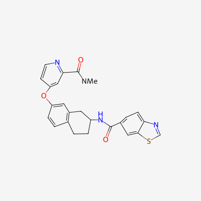 CNC(=O)c1cc(Oc2ccc3c(c2)CC(NC(=O)c2ccc4ncsc4c2)CC3)ccn1